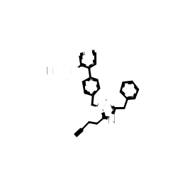 C#CCCc1nc(Cc2ccccc2)nn1Cc1ccc(-c2ccccc2C(=O)O)cc1